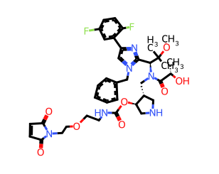 COC(C)(C)[C@H](c1nc(-c2cc(F)ccc2F)cn1Cc1ccccc1)N(C[C@@H]1CNC[C@H]1OC(=O)NCCOCCN1C(=O)C=CC1=O)C(=O)[C@H](C)O